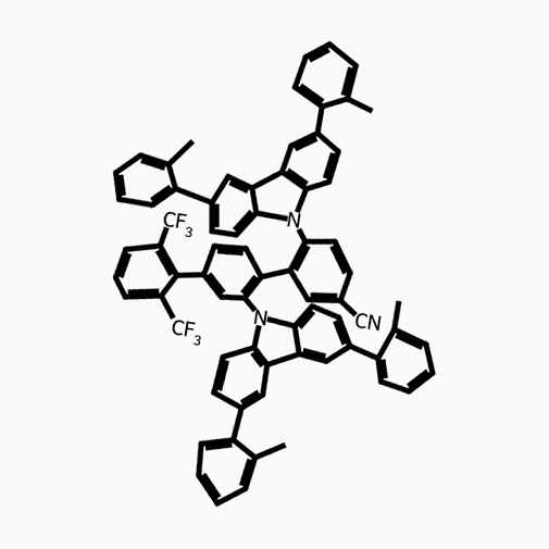 Cc1ccccc1-c1ccc2c(c1)c1cc(-c3ccccc3C)ccc1n2-c1ccc(C#N)cc1-c1ccc(-c2c(C(F)(F)F)cccc2C(F)(F)F)cc1-n1c2ccc(-c3ccccc3C)cc2c2cc(-c3ccccc3C)ccc21